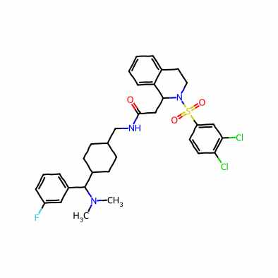 CN(C)C(c1cccc(F)c1)C1CCC(CNC(=O)CC2c3ccccc3CCN2S(=O)(=O)c2ccc(Cl)c(Cl)c2)CC1